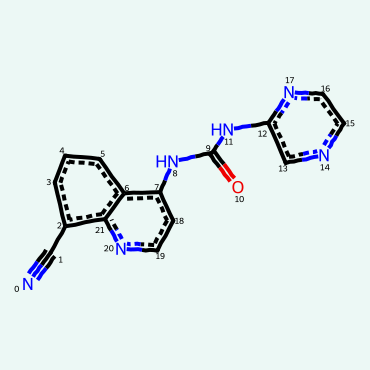 N#Cc1cccc2c(NC(=O)Nc3cnccn3)ccnc12